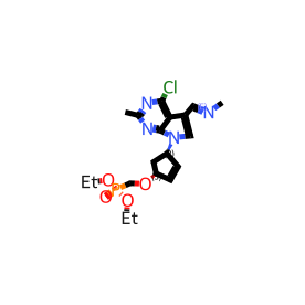 CCOP(=O)(CO[C@@H]1C=C[C@H](n2cc(/C=N/C)c3c(Cl)nc(C)nc32)C1)OCC